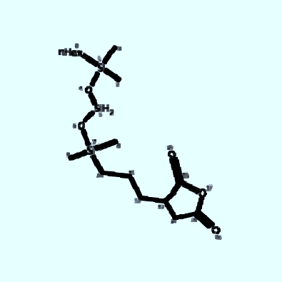 CCCCCC[Si](C)(C)O[SiH2]O[Si](C)(C)CCCC1CC(=O)OC1=O